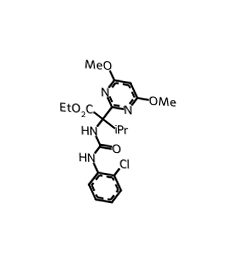 CCOC(=O)C(NC(=O)Nc1ccccc1Cl)(c1nc(OC)cc(OC)n1)C(C)C